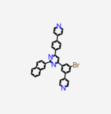 Brc1cc(-c2ccncc2)cc(-c2cc(-c3ccc(-c4ccncc4)cc3)nc(-c3ccc4ccccc4c3)n2)c1